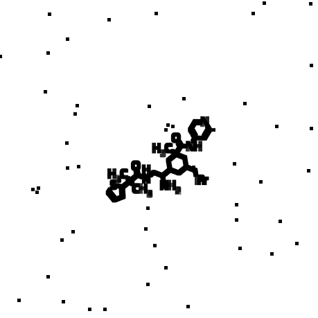 CC(C)CC1CC(C(N)CNC(=O)C(C)(C)c2cccs2)CC(C)(C(=O)Nc2ccncc2)C1